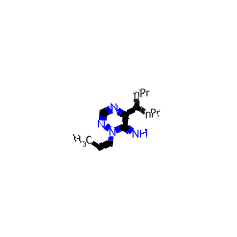 C/C=C\n1ncnc(C(CCC)CCC)c1=N